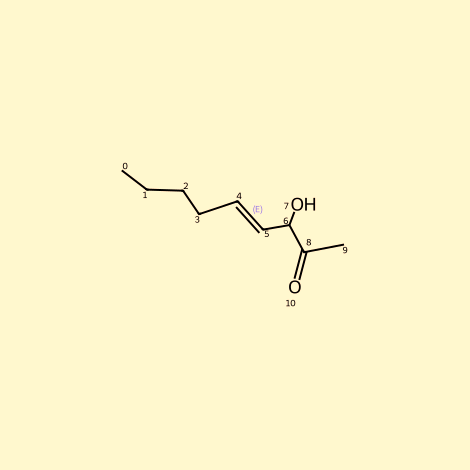 CCCC/C=C/C(O)C(C)=O